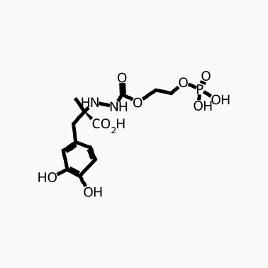 C[C@@](Cc1ccc(O)c(O)c1)(NNC(=O)OCCOP(=O)(O)O)C(=O)O